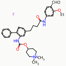 CCOc1cc(NC(=O)CCCc2ccc(-c3ccccc3)c(NC(=O)OC3CC[N+](C)(C)CC3)c2)ccc1C=O.[I-]